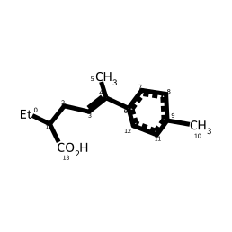 CCC(CC=C(C)c1ccc(C)cc1)C(=O)O